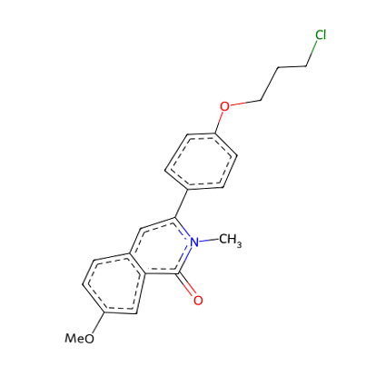 COc1ccc2cc(-c3ccc(OCCCCl)cc3)n(C)c(=O)c2c1